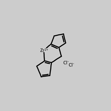 C1=CC2=[C](C1)[Zr+2][C]1=C(C=CC1)C2.[Cl-].[Cl-]